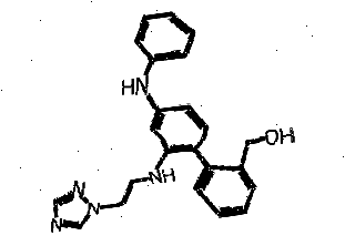 OCc1ccccc1-c1ccc(Nc2ccccc2)cc1NCCn1cncn1